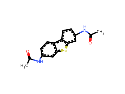 CC(=O)Nc1ccc2c(c1)sc1cc(NC(C)=O)ccc12